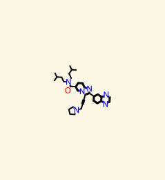 CC(C)CCN(CCC(C)C)C(=O)c1ccc2nc(-c3ccc4nccnc4c3)c(C#CCN3CCCC3)n2c1